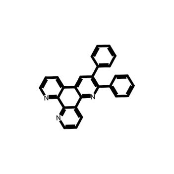 c1ccc(-c2cc3c4cccnc4c4ncccc4c3nc2-c2ccccc2)cc1